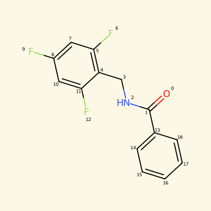 O=C(NCc1c(F)cc(F)cc1F)c1ccccc1